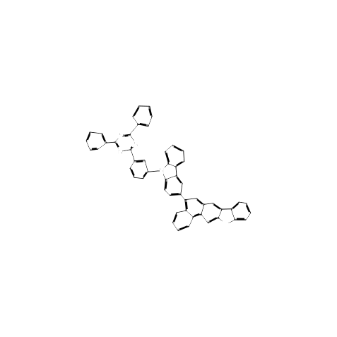 c1ccc(-c2nc(-c3ccccc3)nc(-c3cccc(-n4c5ccccc5c5cc(-c6cc7cc8c(cc7c7ccccc67)oc6ccccc68)ccc54)c3)n2)cc1